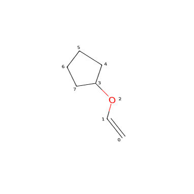 C=COC1CCCC1